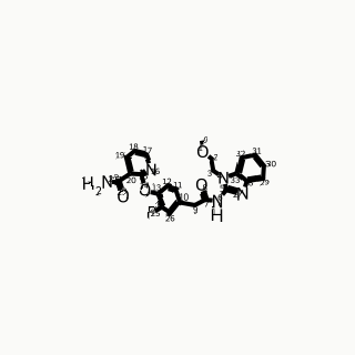 COCCn1c(NC(=O)Cc2ccc(Oc3ncccc3C(N)=O)c(F)c2)nc2ccccc21